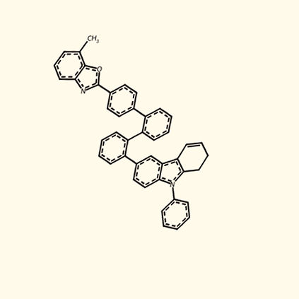 Cc1cccc2nc(-c3ccc(-c4ccccc4-c4ccccc4-c4ccc5c(c4)c4c(n5-c5ccccc5)CCC=C4)cc3)oc12